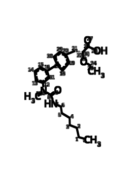 CCCCCCCNC(=O)N(C)c1cccc(-c2ccc(C[C@@H](OCC)C(=O)O)cc2)c1